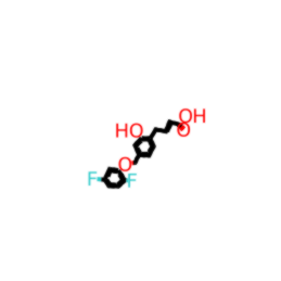 O=C(O)C=CCc1ccc(COc2cc(F)ccc2F)cc1O